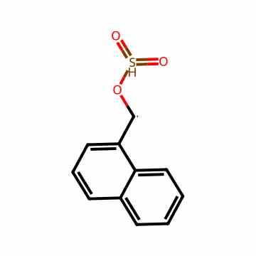 O=[SH](=O)O[CH]c1cccc2ccccc12